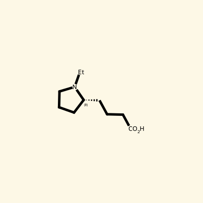 CCN1CCC[C@H]1CCCC(=O)O